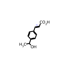 CC(O)c1ccc(/C=C/C(=O)O)cc1